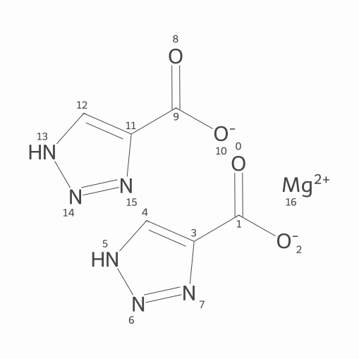 O=C([O-])c1c[nH]nn1.O=C([O-])c1c[nH]nn1.[Mg+2]